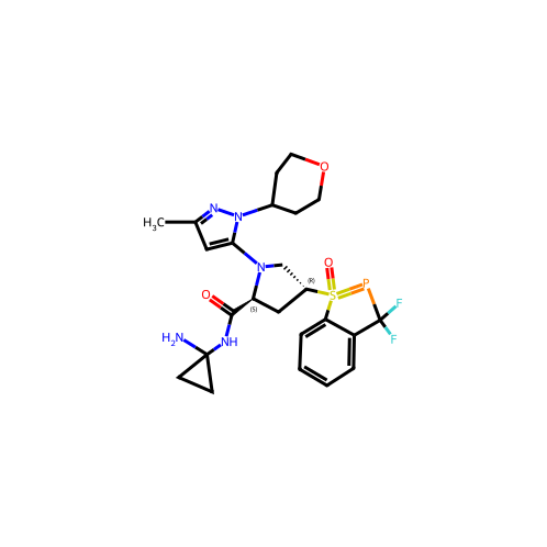 Cc1cc(N2C[C@H](S3(=O)=PC(F)(F)c4ccccc43)C[C@H]2C(=O)NC2(N)CC2)n(C2CCOCC2)n1